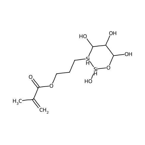 C=C(C)C(=O)OCCC[SiH]1C(O)C(O)C(O)O[SiH]1O